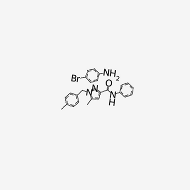 Cc1ccc(Cn2nc(C(=O)Nc3ccccc3)cc2C)cc1.Nc1ccc(Br)cc1